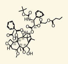 CCCC(=O)OCC(=O)O[C@@H](C(=O)O[C@H]1C[C@@]2(O)[C@@H](OC(=O)c3ccccc3)[C@@H]3[C@]4(OC(C)=O)CO[C@@H]4C[C@H](OC)[C@@]3(C)C(=O)[C@H](CO)C(=C1C)C2(C)C)[C@@H](NC(=O)OC(C)(C)C)c1ccccc1